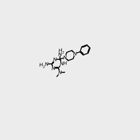 CN(C)C1=NC(N)=NC(N)(N2CCN(c3ccccc3)CC2)N1